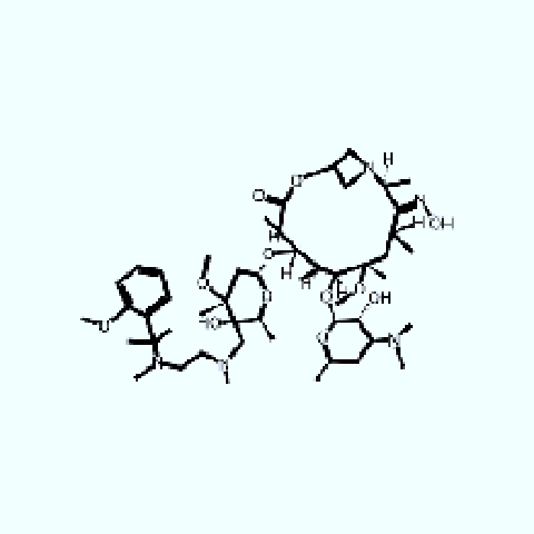 COc1ccccc1C(C)(C)N(C)CCN(C)C[C@@]1(O)[C@H](C)O[C@@H](O[C@H]2[C@H](C)[C@@H](O[C@@H]3O[C@H](C)C[C@H](N(C)C)[C@H]3O)[C@@](C)(OC)C[C@@H](C)C(=NO)[C@H](C)N3CC(C3)OC(=O)[C@@H]2C)C[C@@]1(C)OC